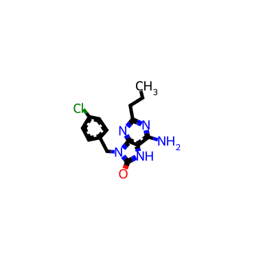 CCCc1nc(N)c2[nH]c(=O)n(Cc3ccc(Cl)cc3)c2n1